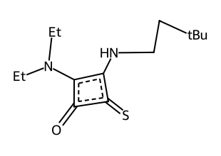 CCN(CC)c1c(NCCC(C)(C)C)c(=S)c1=O